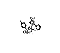 Cc1ccc(S(=O)(=O)N[C@@H](C)C(=O)On2cc(O)cc2-c2ccccc2)cc1